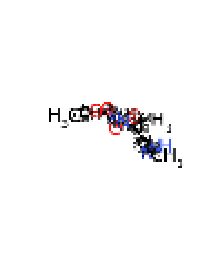 Cc1ccc(OCC2CN(C(=O)N3CCOc4c(C)cc(-c5ccc6nc(C)[nH]c6c5)cc4C3)CCO2)cc1